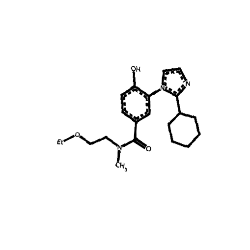 CCOCCN(C)C(=O)c1ccc(O)c(-n2ccnc2C2CCCCC2)c1